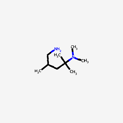 CC(CN)CC(C)(C)N(C)C